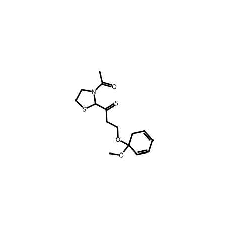 COC1(OCCC(=S)C2SCCN2C(C)=O)C=CC=CC1